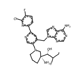 Nc1ncnc2c1ncn2Cc1cc(-c2ccc(F)c(Cl)n2)ncc1N1CCC[C@](N)([C@H](O)C(F)F)C1